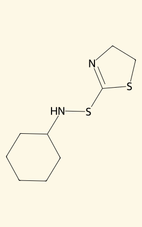 C1CCC(NSC2=NCCS2)CC1